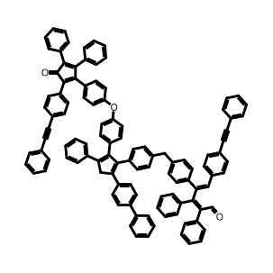 O=C/C(=C(\C(=C\c1ccc(C#Cc2ccccc2)cc1)c1ccc(Cc2ccc(C3=C(c4ccc(-c5ccccc5)cc4)CC(c4ccccc4)=C3c3ccc(Oc4ccc(C5=C(c6ccc(C#Cc7ccccc7)cc6)C(=O)C(c6ccccc6)=C5c5ccccc5)cc4)cc3)cc2)cc1)c1ccccc1)c1ccccc1